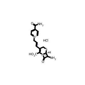 Cl.NC(=O)c1cc[n+](C/C=C/C2=C(C(=O)O)N3C(=O)C(N)[C@@H]3SC2)cc1